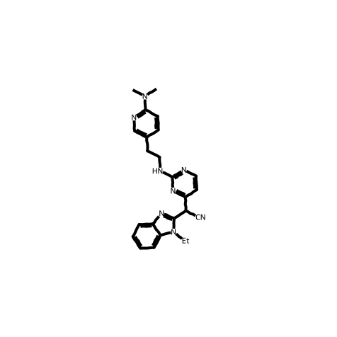 CCn1c(C(C#N)c2ccnc(NCCc3ccc(N(C)C)nc3)n2)nc2ccccc21